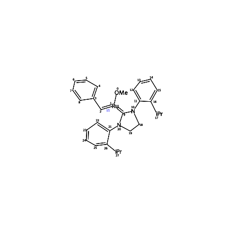 C[O]/[Ru](=[CH]\c1ccccc1)=[C]1N(c2ccccc2C(C)C)CCN1c1ccccc1C(C)C